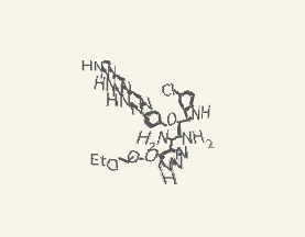 CCOCCOCOc1[nH]nnc1C(N)C(N)=C(OCc1ccccc1)c1c[nH]c2ccc(Cl)cc12.c1c[nH]nn1.c1c[nH]nn1.c1c[nH]nn1